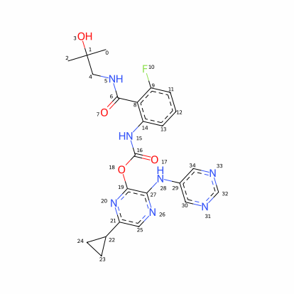 CC(C)(O)CNC(=O)c1c(F)cccc1NC(=O)Oc1nc(C2CC2)cnc1Nc1cncnc1